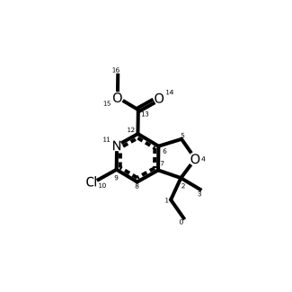 CCC1(C)OCc2c1cc(Cl)nc2C(=O)OC